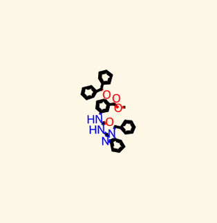 COC(=O)c1cc(NC(=O)Nc2nc3ccccc3n2Cc2ccccc2)ccc1OC(c1ccccc1)c1ccccc1